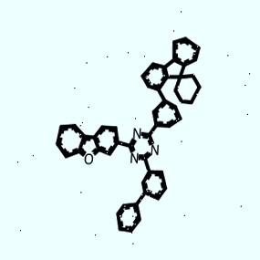 c1ccc(-c2cccc(-c3nc(-c4cccc(-c5cccc6c5C5(CCCCC5)c5ccccc5-6)c4)nc(-c4ccc5c(c4)oc4ccccc45)n3)c2)cc1